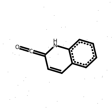 O=C=C1C=Cc2ccccc2N1